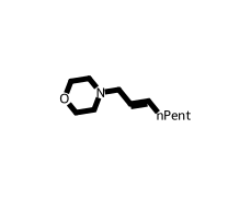 CCCCCC=CCN1CCOCC1